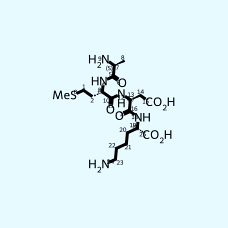 CSCC[C@H](NC(=O)[C@H](C)N)C(=O)N[C@@H](CC(=O)O)C(=O)N[C@@H](CCCCN)C(=O)O